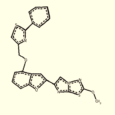 COc1nn2cc(-c3cc4c(OCc5csc(-c6ccccc6)n5)cccc4o3)nc2s1